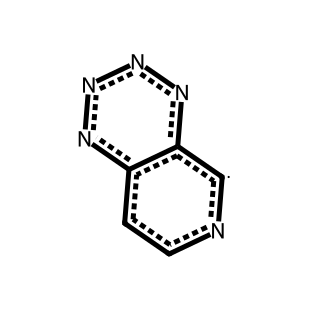 [c]1nccc2nnnnc12